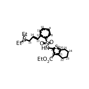 CCOC(=O)c1c(NS(=O)(=O)c2ccccc2C=CCN(CC)CC)sc2c1CCCC2